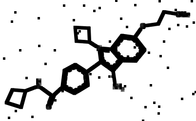 COCCOc1ccc2c(N)c(-c3ccc(C(=O)NC4CCC4)cc3)n(C3CCC3)c2c1